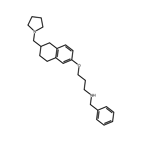 c1ccc(CNCCCOc2ccc3c(c2)CCC(CN2CCCC2)C3)cc1